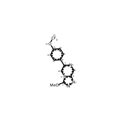 COc1nnc2cnc(-c3ccc(OC(F)(F)F)cc3)cn12